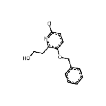 OCCc1nc(Cl)ccc1OCc1ccccc1